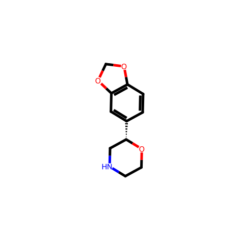 c1cc2c(cc1[C@H]1CNCCO1)OCO2